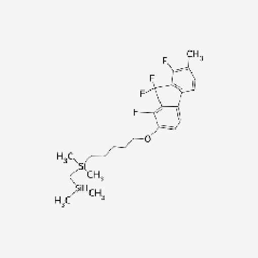 Cc1ccc2c(c1F)C(F)(F)c1c-2ccc(OCCCCC[Si](C)(C)C[SiH](C)C)c1F